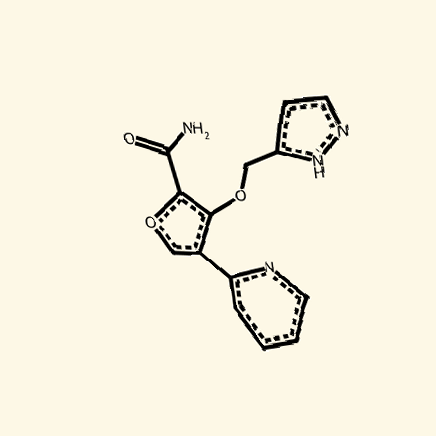 NC(=O)c1occ(-c2ccccn2)c1OCc1ccn[nH]1